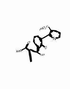 C=C(C(=O)OC)C(O)c1cccc(-c2ncccc2C(=O)O)c1Cl